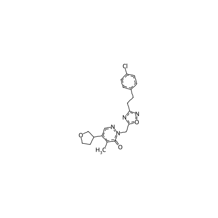 Cc1c(C2CCOC2)cnn(Cc2nc(CCc3ccc(Cl)cc3)no2)c1=O